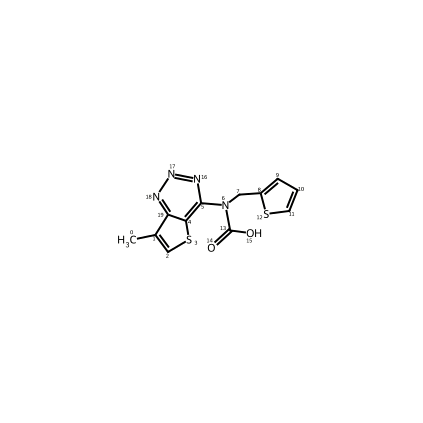 Cc1csc2c(N(Cc3cccs3)C(=O)O)nnnc12